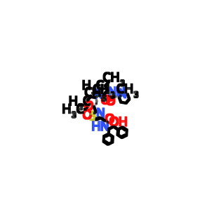 CC[C@H](C)[C@H](NC(=O)[C@H]1CCCCN1C)C(=O)N(C)[C@H](C[C@@H](OC(C)=O)c1nc(C(=O)N[C@H](c2ccccc2)[C@@H](O)c2ccccc2)cs1)C(C)C